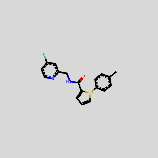 Cc1ccc([SH]2C=CC=C2C(=O)NCc2cc(F)ccn2)cc1